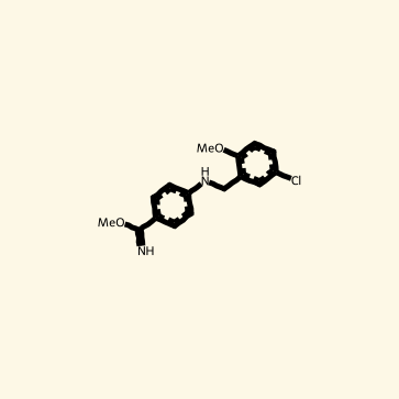 COC(=N)c1ccc(NCc2cc(Cl)ccc2OC)cc1